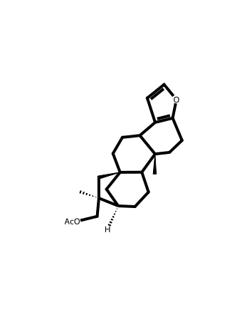 CC(=O)OC[C@@]1(C)C[C@@]23CCC4c5ccoc5CC[C@]4(C)C2CC[C@@H]1C3